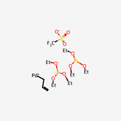 C=C[CH2][Pd+].CCOP(OCC)OCC.CCOP(OCC)OCC.O=S(=O)([O-])C(F)(F)F